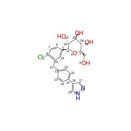 OC[C@H]1O[C@@H](c2ccc(Cl)c(Cc3ccc(-c4cn[nH]c4)cc3)c2)[C@H](O)[C@@H](O)[C@@H]1O